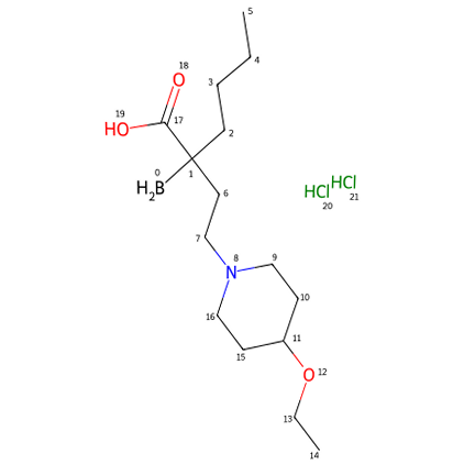 BC(CCCC)(CCN1CCC(OCC)CC1)C(=O)O.Cl.Cl